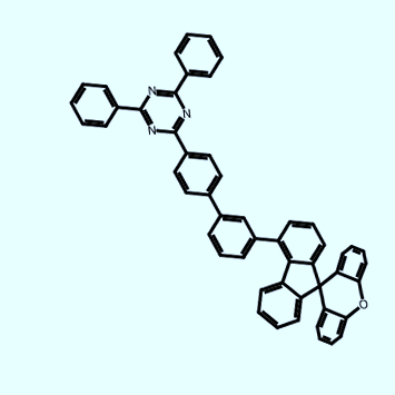 c1ccc(-c2nc(-c3ccccc3)nc(-c3ccc(-c4cccc(-c5cccc6c5-c5ccccc5C65c6ccccc6Oc6ccccc65)c4)cc3)n2)cc1